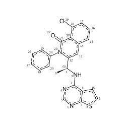 C[C@H](Nc1ncnc2sccc12)c1cc2cccc(Cl)c2c(=O)n1-c1ccccc1